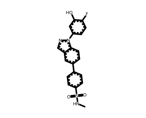 CNS(=O)(=O)c1ccc(-c2ccc3c(cnn3-c3ccc(F)c(O)c3)c2)cc1